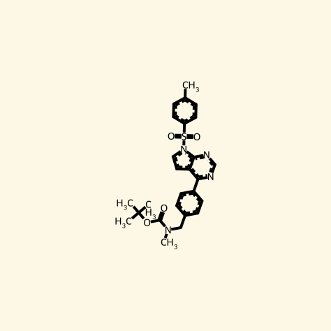 Cc1ccc(S(=O)(=O)n2ccc3c(-c4ccc(CN(C)C(=O)OC(C)(C)C)cc4)ncnc32)cc1